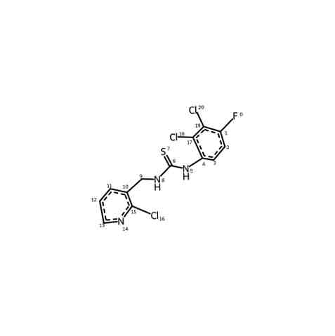 Fc1ccc(NC(=S)NCc2cccnc2Cl)c(Cl)c1Cl